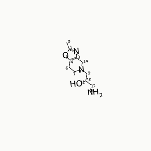 Cc1nc2c(o1)CCN(CC(O)CN)C2